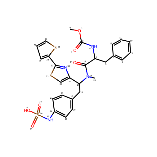 COC(=O)NC(Cc1ccccc1)C(=O)N(C)C(Cc1ccc(NS(=O)(=O)O)cc1)c1csc(-c2cccs2)n1